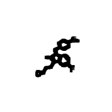 CSc1ccc(/C=C2/C(C)=C(CCC=O)c3cc(F)ccc32)cc1